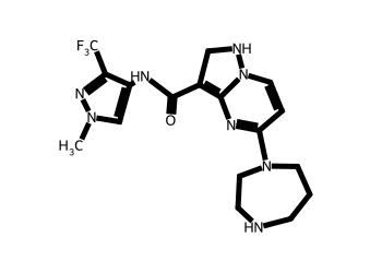 Cn1cc(NC(=O)C2=C3N=C(N4CCCNCC4)C=CN3NC2)c(C(F)(F)F)n1